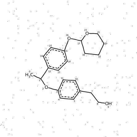 CC(Oc1ccc(CCO)cc1)c1ccc(OC2CCCCO2)cc1